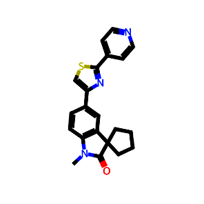 CN1C(=O)C2(CCCC2)c2cc(-c3csc(-c4ccncc4)n3)ccc21